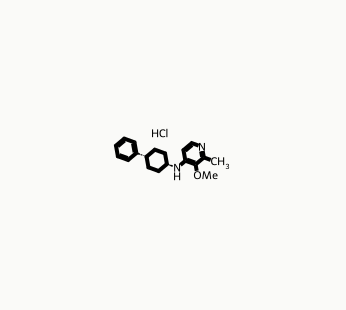 COc1c(N[C@H]2CC[C@@H](c3ccccc3)CC2)ccnc1C.Cl